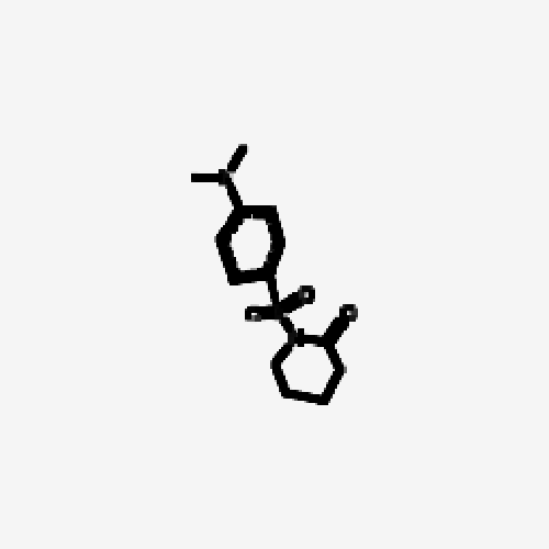 CN(C)c1ccc(S(=O)(=O)N2CCCCC2=O)cc1